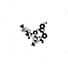 C=CC(=O)N(C)C[C@H](NC(=O)OC(C)(C)C)C(=O)N1C[C@H](Oc2cc(-c3ccccc3)nc3cc(OC)ccc23)C[C@H]1C(=O)N[C@]1(C(=O)NS(=O)(=O)C2CC2)C[C@H]1C=C